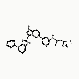 CC(C)CC(=O)Nc1cncc(-c2ccc3[nH]nc(-c4cc5c(-c6ccccn6)cccc5[nH]4)c3c2)c1